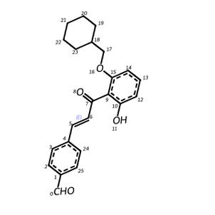 O=Cc1ccc(/C=C/C(=O)c2c(O)cccc2OCC2CCCCC2)cc1